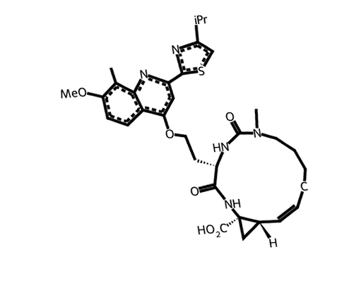 COc1ccc2c(OCC[C@@H]3NC(=O)N(C)CCCC/C=C\[C@@H]4C[C@@]4(C(=O)O)NC3=O)cc(-c3nc(C(C)C)cs3)nc2c1C